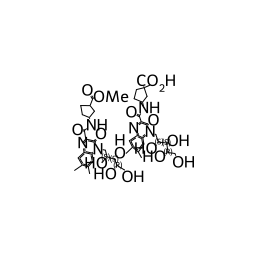 COC(=O)C1CCC(NC(=O)c2nc3cc(C)c(C)cc3n(C[C@H](O)[C@H](O)[C@H](O)CO)c2=O)C1.Cc1cc2nc(C(=O)NC3CCC(C)(C(=O)O)C3)c(=O)n(C[C@H](O)[C@H](O)[C@H](O)CO)c2cc1C